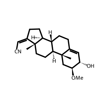 CO[C@H]1C[C@@]2(C)C(=C[C@@H]1O)CC[C@@H]1[C@@H]2CC[C@]2(C)/C(=C\C#N)CC[C@@H]12